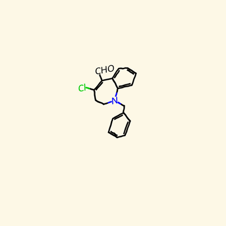 O=CC1=C(Cl)CCN(Cc2ccccc2)c2ccccc21